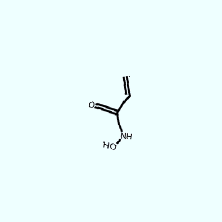 [CH]=CC(=O)NO